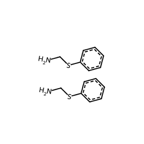 NCSc1ccccc1.NCSc1ccccc1